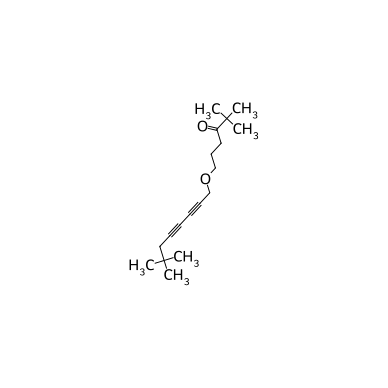 CC(C)(C)CC#CC#CCOCCCC(=O)C(C)(C)C